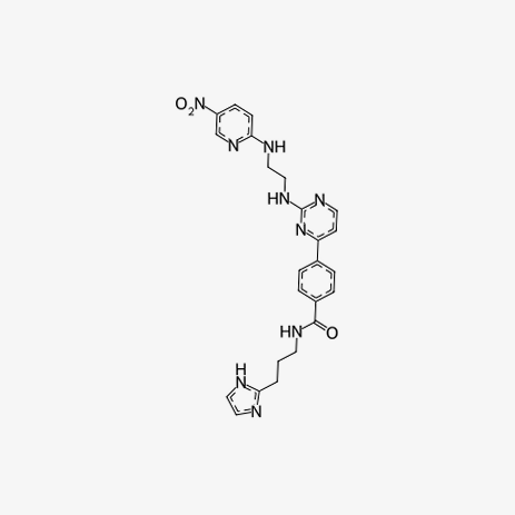 O=C(NCCCc1ncc[nH]1)c1ccc(-c2ccnc(NCCNc3ccc([N+](=O)[O-])cn3)n2)cc1